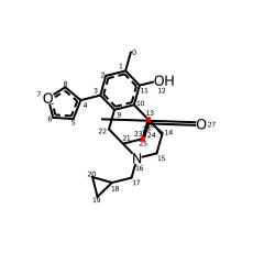 Cc1cc(-c2ccoc2)c2c(c1O)[C@@]13CCN(CC4CC4)C(C2)C1CCC(=O)C3